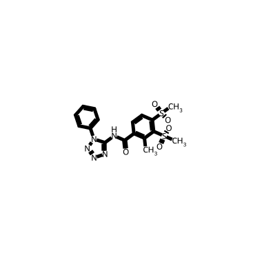 Cc1c(C(=O)Nc2nnnn2-c2ccccc2)ccc(S(C)(=O)=O)c1S(C)(=O)=O